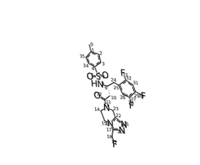 Cc1ccc(S(=O)(=O)N[C@@H](CC(=O)N2CCn3c(CF)nnc3C2)Cc2cc(F)c(F)cc2F)cc1